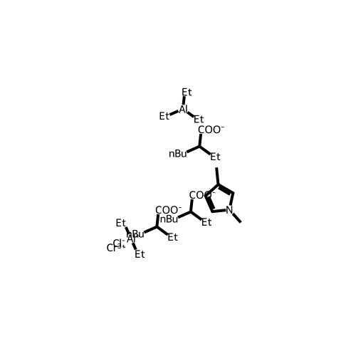 CCCCC(CC)C(=O)[O-].CCCCC(CC)C(=O)[O-].CCCCC(CC)C(=O)[O-].C[CH2][Al+][CH2]C.C[CH2][Al]([CH2]C)[CH2]C.Cc1ccn(C)c1.[Cl-].[Cr+3]